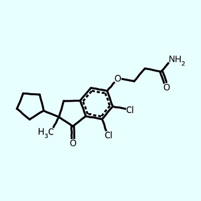 CC1(C2CCCC2)Cc2cc(OCCC(N)=O)c(Cl)c(Cl)c2C1=O